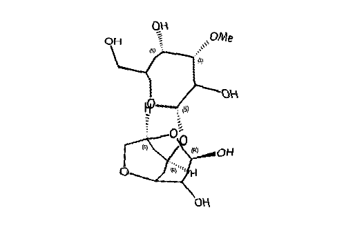 CO[C@@H]1C(O)[C@H](O[C@H]2C3OC[C@H]2O[C@@H](O)C3O)OC(CO)[C@@H]1O